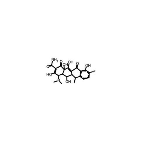 CC1c2ccc(F)c(O)c2C(=O)C2=C(O)C3(O)C(=O)C(C(N)=O)=C(O)C(N(C)C)C3C(O)C21